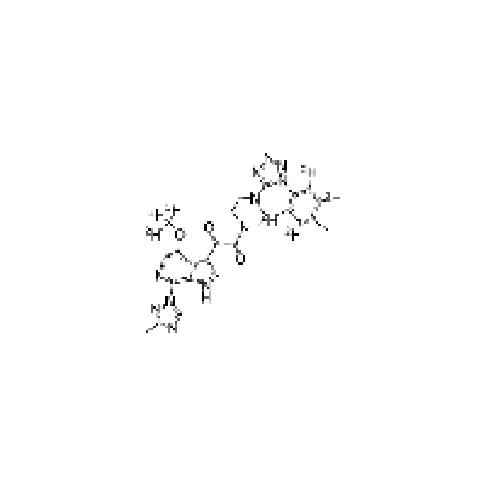 [2H]c1c([2H])c(-n2nnnc2N2CCN(C(=O)C(=O)c3c[nH]c4c(-n5cnc(C)n5)ncc(OC([2H])([2H])[2H])c34)CC2)c([2H])c([2H])c1C